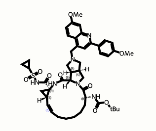 COc1ccc(-c2cc(CN3C[C@H]4CN5C(=O)[C@H](NC(=O)OC(C)(C)C)CCCCC/C=C\[C@@H]6C[C@@]6(C(=O)NS(=O)(=O)C6CC6)NC(=O)[C@@H]5[C@H]4C3)c3ccc(OC)cc3n2)cc1